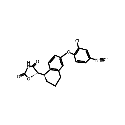 [C-]#[N+]c1ccc(Oc2ccc3c(c2)CCC[C@H]3[C@@H]2OC(=O)NC2=O)c(Cl)c1